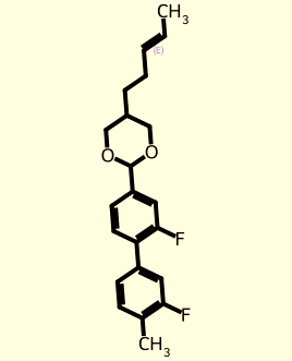 C/C=C/CCC1COC(c2ccc(-c3ccc(C)c(F)c3)c(F)c2)OC1